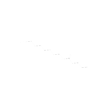 CCCCCCCCCCCCCCCOC(=O)CCCBr